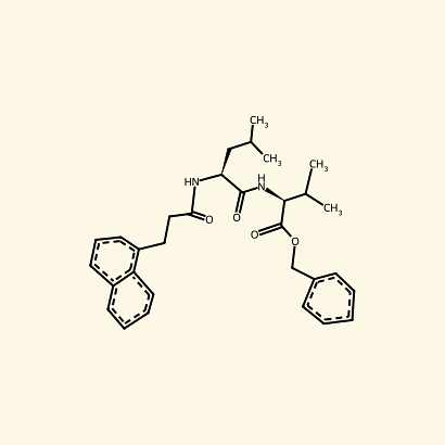 CC(C)C[C@H](NC(=O)CCc1cccc2ccccc12)C(=O)N[C@H](C(=O)OCc1ccccc1)C(C)C